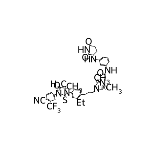 CCc1cc(N2C(=S)N(c3ccc(C#N)c(C(F)(F)F)c3)C(=O)C2(C)C)ccc1CCCN1C[C@@H](C)N(CC(=O)Nc2cccc(NC3CCC(=O)NC3=O)c2)[C@@H](C)C1